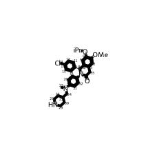 COc1cc2c(cc1OC(C)C)[C@@H](c1ccc(Cl)cc1)N(c1ccc(N(C)CC3CCNCC3)cc1)C(=O)C2